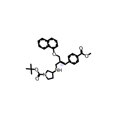 COC(=O)c1ccc(/C=C(/CNC2CCN(C(=O)OC(C)(C)C)C2)COc2cccc3ccccc23)cc1